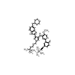 COc1cnc(-c2cc(C#C[Si](C)(C)C)ccc2F)nc1Nc1cn(COCC[Si](C)(C)C)nc1-c1nc2cc(CN3CCOCC3)ccc2[nH]1